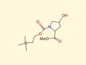 COC(=O)C1CC(O)CN1C(=O)OCC[Si](C)(C)C